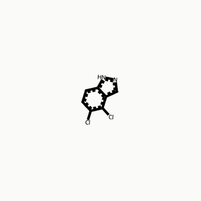 Clc1ccc2[nH]n[c]c2c1Cl